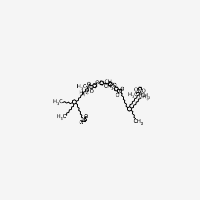 CCCCCCCCC1C(CCCCCC)CCC(CCCCCCCCC(CC)(CC)N2C(=O)c3ccc(Oc4ccc(C(C)(C)c5ccc(Oc6ccc7c(c6)C(=O)N(CCCCCCCCC6CCC(CCCCCC)C(CCCCCCCC)C6CCCCCCCCC(CC)(CC)N6C(=O)C=CC6=O)C7=O)cc5)cc4)cc3C2=O)C1CCCCCCCCN1C(=O)C=CC1=O